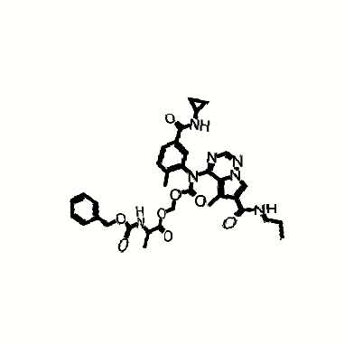 CCCNC(=O)c1cn2ncnc(N(C(=O)OCOC(=O)C(C)NC(=O)OCc3ccccc3)c3cc(C(=O)NC4CC4)ccc3C)c2c1C